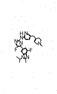 Cc1nc2c(F)cc(-c3nc(Nc4ccc(CC5=CCN(C)CC5)cn4)ncc3F)cc2n1C(C)C